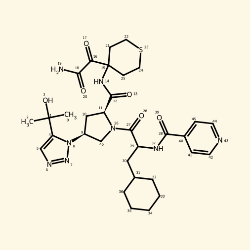 CC(C)(O)c1cnnn1[C@H]1C[C@@H](C(=O)NC2(C(=O)C(N)=O)CCSCC2)N(C(=O)C(CC2CCCCC2)NC(=O)c2ccncc2)C1